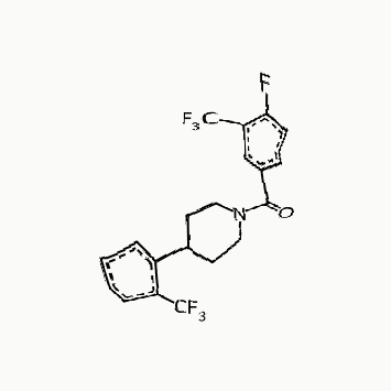 O=C(c1ccc(F)c(C(F)(F)F)c1)N1CCC(c2ccccc2C(F)(F)F)CC1